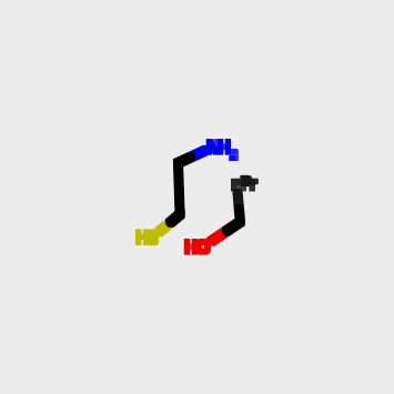 CCCCO.NCCS